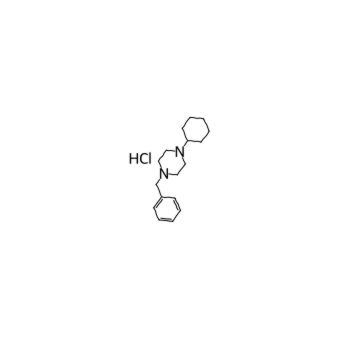 Cl.c1ccc(CN2CCN(C3CCCCC3)CC2)cc1